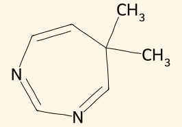 CC1(C)C=CN=CN=C1